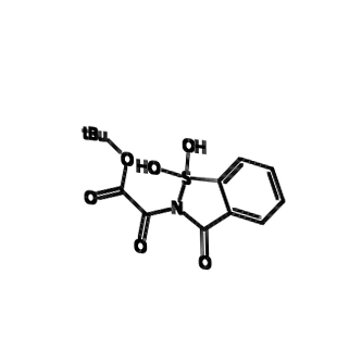 CC(C)(C)OC(=O)C(=O)N1C(=O)c2ccccc2S1(O)O